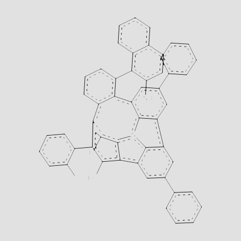 Cc1ccccc1-c1c(C)c2c3cc(-c4ccccc4)cc4c5cc(-c6ccccc6)cc6c7c(-c8c(N)ccc9ccccc89)cccc7c1c(S)c2n(c56)c43